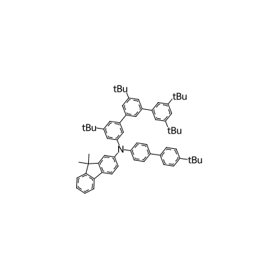 CC(C)(C)c1ccc(-c2ccc(N(c3cc(-c4cc(-c5cc(C(C)(C)C)cc(C(C)(C)C)c5)cc(C(C)(C)C)c4)cc(C(C)(C)C)c3)c3ccc4c(c3)C(C)(C)c3ccccc3-4)cc2)cc1